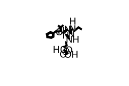 CCCNc1nc(NCCC)nc(N(OCc2ccccc2)C(C)C)n1.O=S(=O)(O)O